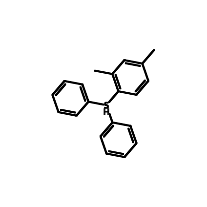 Cc1ccc([SH](c2ccccc2)c2ccccc2)c(C)c1